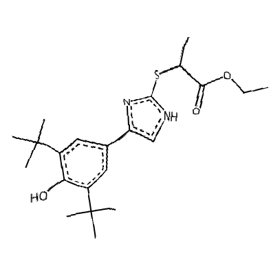 CCOC(=O)C(C)Sc1nc(-c2cc(C(C)(C)C)c(O)c(C(C)(C)C)c2)c[nH]1